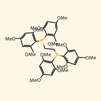 COc1cc(OC)c(P(CCP(c2c(OC)cc(OC)cc2OC)c2c(OC)cc(OC)cc2OC)c2c(OC)cc(OC)cc2OC)c(OC)c1